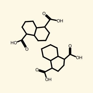 O=C(O)C1CCC(C(=O)O)C2CCCCC12.O=C(O)C1CCCC2C(C(=O)O)CCCC12